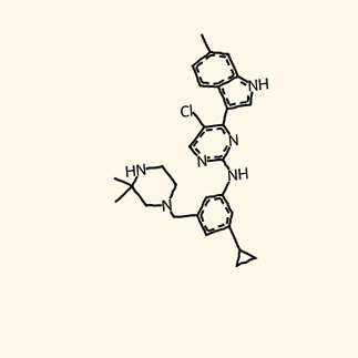 Cc1ccc2c(-c3nc(Nc4cc(CN5CCNC(C)(C)C5)cc(C5CC5)c4)ncc3Cl)c[nH]c2c1